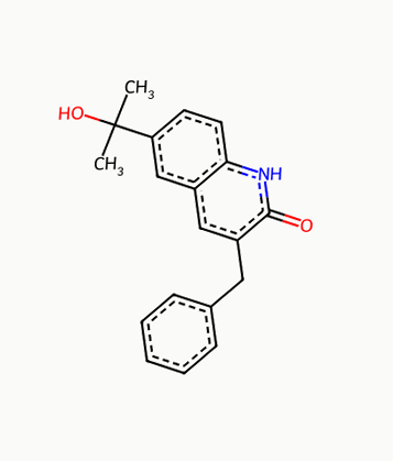 CC(C)(O)c1ccc2[nH]c(=O)c(Cc3ccccc3)cc2c1